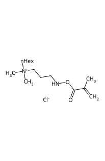 C=C(C)C(=O)ONCCC[N+](C)(C)CCCCCC.[Cl-]